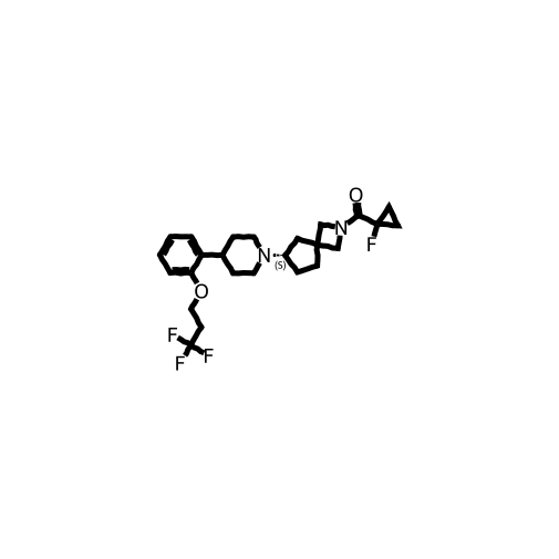 O=C(N1CC2(CC[C@H](N3CCC(c4ccccc4OCCC(F)(F)F)CC3)C2)C1)C1(F)CC1